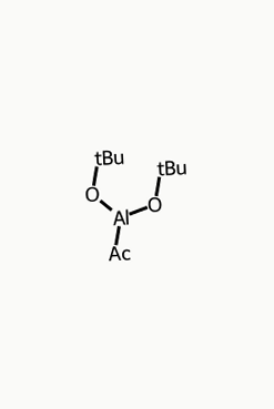 C[C](=O)[Al]([O]C(C)(C)C)[O]C(C)(C)C